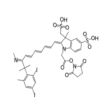 C\N=C(/C=C/C=C/C=C/C=C1\N(CC(=O)ON2C(=O)CCC2=O)c2ccc(S(=O)(=O)O)cc2C1(C)CS(=O)(=O)O)C(C)(C)c1c(C)cc(I)cc1I